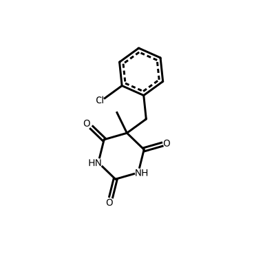 CC1(Cc2ccccc2Cl)C(=O)NC(=O)NC1=O